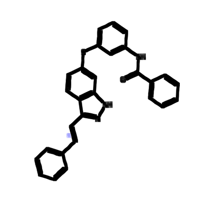 O=C(Nc1cccc(Sc2ccc3c(/C=C/c4ccccc4)n[nH]c3c2)c1)c1ccccc1